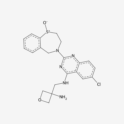 NC1(CNc2nc(N3CC[S+]([O-])c4ccccc4C3)nc3ccc(Cl)cc23)COC1